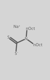 CCCCCCCCN(CCCCCCCC)C(=S)[S-].[Na+]